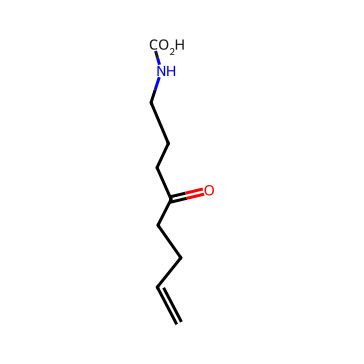 C=CCCC(=O)CCCNC(=O)O